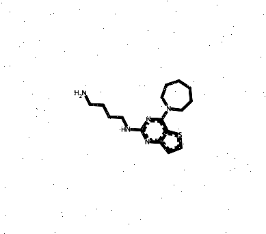 NCCCCNc1nc(N2CCCCCC2)c2sccc2n1